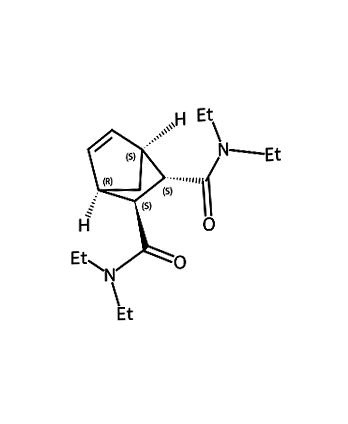 CCN(CC)C(=O)[C@@H]1[C@@H](C(=O)N(CC)CC)[C@H]2C=C[C@@H]1C2